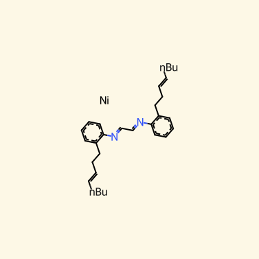 CCCCC=CCCc1ccccc1N=CC=Nc1ccccc1CCC=CCCCC.[Ni]